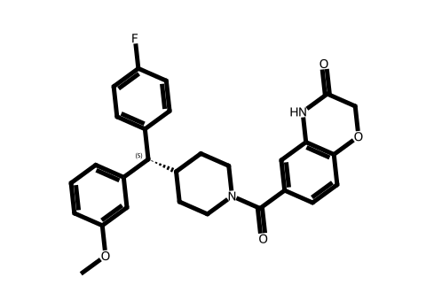 COc1cccc([C@H](c2ccc(F)cc2)C2CCN(C(=O)c3ccc4c(c3)NC(=O)CO4)CC2)c1